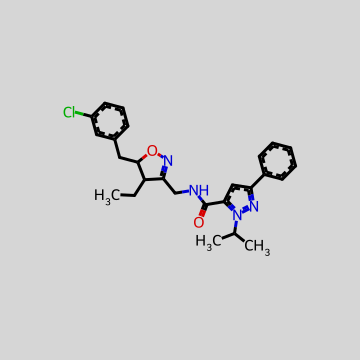 CCC1C(CNC(=O)c2cc(-c3ccccc3)nn2C(C)C)=NOC1Cc1cccc(Cl)c1